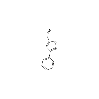 O=Pc1cc(-c2ccccc2)no1